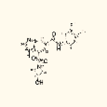 O=C(Nc1ccc(F)c(F)c1)c1cc(S(=O)(=O)N2CC(O)C2)c2[nH]cnc2c1